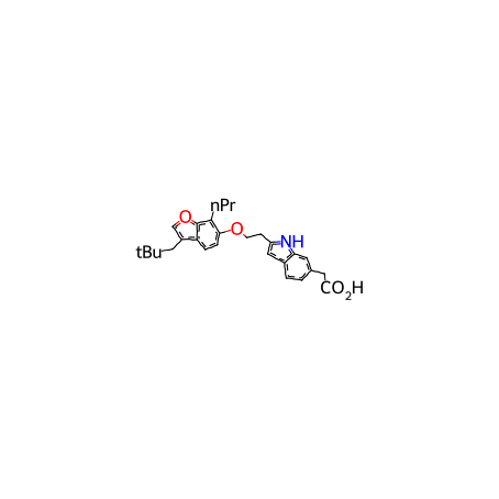 CCCc1c(OCCc2cc3ccc(CC(=O)O)cc3[nH]2)ccc2c(CC(C)(C)C)coc12